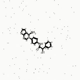 CCC(C(=O)Nc1ccc(N2C=Nc3sccc3C2N)cc1)c1ccccc1